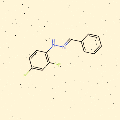 Fc1ccc(NN=Cc2ccccc2)c(F)c1